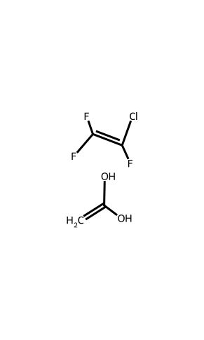 C=C(O)O.FC(F)=C(F)Cl